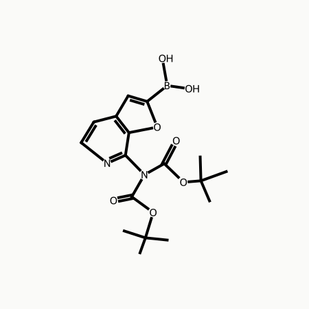 CC(C)(C)OC(=O)N(C(=O)OC(C)(C)C)c1nccc2cc(B(O)O)oc12